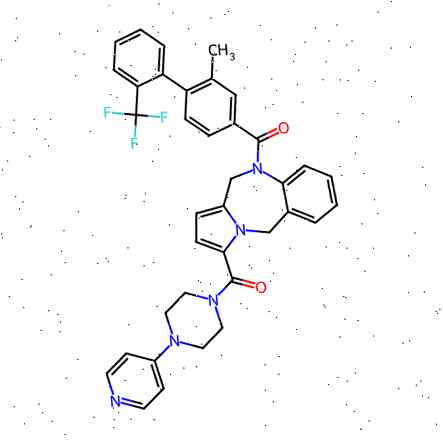 Cc1cc(C(=O)N2Cc3ccc(C(=O)N4CCN(c5ccncc5)CC4)n3Cc3ccccc32)ccc1-c1ccccc1C(F)(F)F